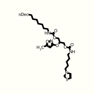 CCCCCCCCCCCCCCCCCNC(=O)OCC(COC(=O)NCCCCCN1C=CSC1)Oc1cc(C)on1